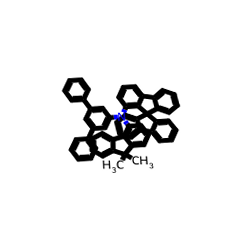 CC1(C)c2ccccc2-c2c(N(c3cc(-c4ccccc4)cc(-c4ccccc4)c3)c3cccc4c3C3(c5ccccc5-c5ccccc53)c3ccccc3-4)cccc21